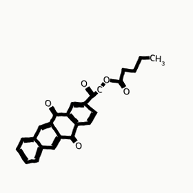 CCCCC(=O)OCC(=O)c1ccc2c(c1)C(=O)c1cc3ccccc3cc1C2=O